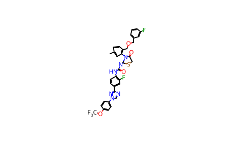 Cc1ccc(COCc2cccc(F)c2)c(N2C(=O)CSC2=NC(=O)Nc2ccc(-c3ncn(-c4ccc(OC(F)(F)F)cc4)n3)cc2F)c1